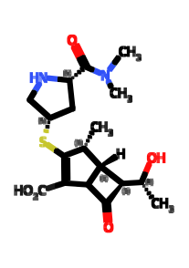 C[C@@H](O)[C@H]1C(=O)C2C(C(=O)O)=C(S[C@@H]3CN[C@H](C(=O)N(C)C)C3)[C@H](C)[C@@H]21